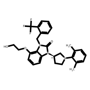 Cc1cccc(C)c1N1CC[C@@H](n2c(=O)n(Cc3ccccc3C(F)(F)F)c3c(OCCO)cccc32)C1